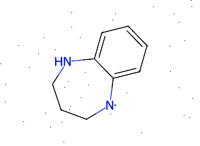 c1ccc2c(c1)[N]CCCN2